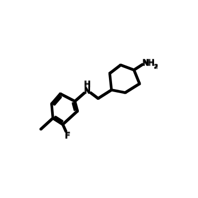 Cc1ccc(NCC2CCC(N)CC2)cc1F